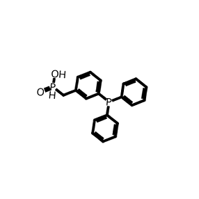 O=[PH](O)Cc1cccc(P(c2ccccc2)c2ccccc2)c1